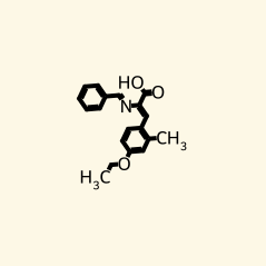 CCOc1ccc(C=C(N=Cc2ccccc2)C(=O)O)c(C)c1